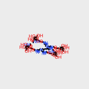 CC(=O)N[C@H]1[C@H](OCCOCCn2cc(CN(CCCCC(N(Cc3cn(CCOCCO[C@@H]4O[C@H](CO)[C@H](O)[C@H](O)[C@H]4C)nn3)Cc3cn(CCOCCO[C@@H]4O[C@H](CO)[C@H](O)[C@H](O)[C@H]4NC(C)=O)nn3)C(C)(C)C)Cc3cn(CCOCCO[C@@H]4O[C@H](CO)[C@H](O)[C@H](O)[C@H]4NC(C)=O)nn3)nn2)O[C@H](CO)[C@H](O)[C@@H]1O